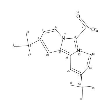 CC(C)(C)c1ccn2c(C(=O)[O-])[n+]3ccc(C(C)(C)C)cc3c2c1